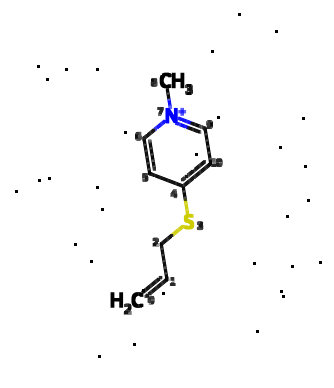 C=CCSc1cc[n+](C)cc1